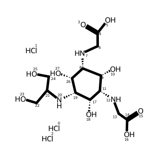 Cl.Cl.Cl.O=C(O)CN[C@@H]1[C@H](O)[C@H](NCC(=O)O)[C@H](O)[C@H](NC(CO)CO)[C@@H]1O